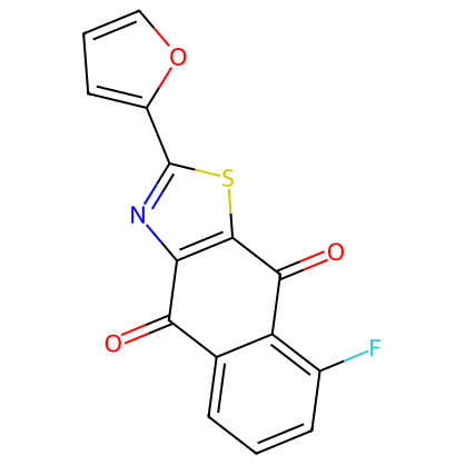 O=C1c2cccc(F)c2C(=O)c2sc(-c3ccco3)nc21